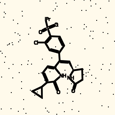 CC(C)S(=O)(=O)c1ccc(/C(=C/[C@H]2CCC(=O)N2)c2ccc(C3CC3)c(=O)[nH]2)cc1Cl